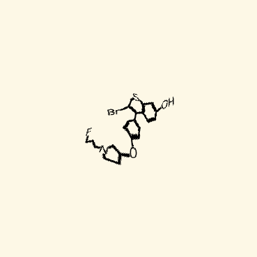 Oc1ccc2c(c1)SCC(Br)=C2c1ccc(OC2CCN(CCCF)C2)cc1